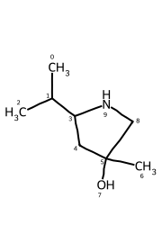 CC(C)C1CC(C)(O)CN1